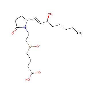 CCCCC[C@H](O)C=C[C@H]1CCC(=O)N1CC[S+]([O-])CCCC(=O)O